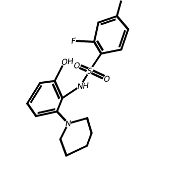 O=S(=O)(Nc1c(O)cccc1N1CCCCC1)c1ccc(Br)cc1F